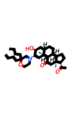 CCCCC1(CCCC)CN([C@H]2C[C@@]3(C)[C@@H](CC[C@H]4[C@@H]5CC[C@H](C(C)=O)[C@@]5(C)CC(=O)[C@@H]43)C[C@@H]2O)CCO1